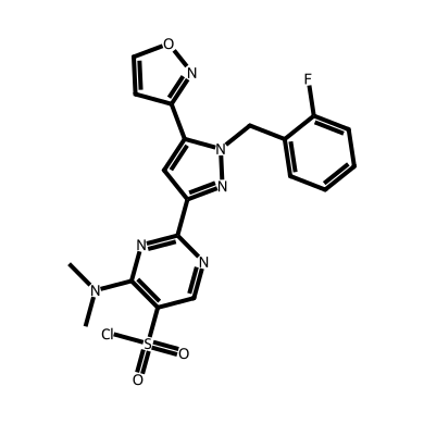 CN(C)c1nc(-c2cc(-c3ccon3)n(Cc3ccccc3F)n2)ncc1S(=O)(=O)Cl